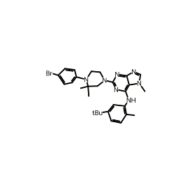 Cc1ccc(C(C)(C)C)cc1Nc1nc(N2CCN(c3ccc(Br)cc3)C(C)(C)C2)nc2ncn(C)c12